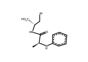 CC(C)C[C@H](NC(=O)[C@H](C)Nc1ccccc1)C(=O)O